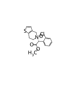 COC(=O)[C@@H](c1ccccc1Cl)[N+]1([O-])CCc2sccc2C1